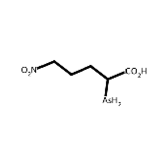 O=C(O)C([AsH2])CCC[N+](=O)[O-]